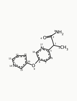 CC(C(N)=O)c1ccc(Oc2cccnc2)cn1